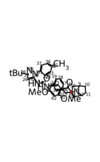 COc1ccc(C(=O)CN2C3CCC2CC(Cc2cccc(NC(=O)Nc4cc(C(C)(C)C)nn4-c4ccc(C)cc4)c2)C3)c(OC)c1